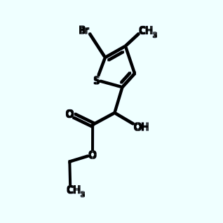 CCOC(=O)C(O)c1cc(C)c(Br)s1